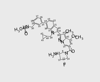 COc1cc(C(=O)N2C[C@H](N)C[C@@H](F)C2)cn2nc(-c3cc4ccc(-c5cccc(CNC(C)=O)c5)cc4n3CC3CC3)c(C)c12